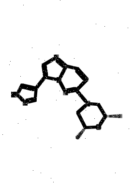 C[C@@H]1CN(c2ccc3ncc(-c4cn[nH]c4)n3n2)C[C@H](C)O1